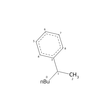 CCCCC(C)c1cc[c]cc1